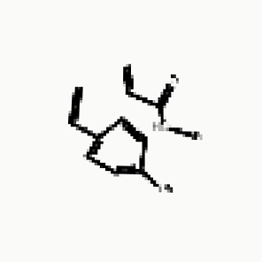 C=CC(=O)NC(C)C.C=Cc1ccc(C(C)(C)C)cc1